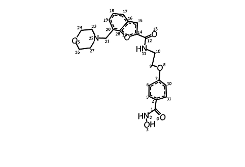 O=C(NO)c1ccc(OCCNC(=O)c2cc3cccc(CN4CCOCC4)c3o2)cc1